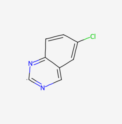 Clc1ccc2n[c]ncc2c1